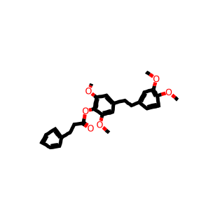 COc1ccc(CCc2cc(OC)c(OC(=O)CCc3ccccc3)c(OC)c2)cc1OC